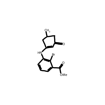 COC(=O)c1cccc(NC2=CC(=O)CC(C)C2)c1Br